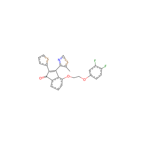 Cc1scnc1C1=C(c2cccs2)C(=O)c2cccc(OCCOc3ccc(F)c(F)c3)c21